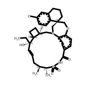 CC[C@]1(O)/C=C/C[C@H](C)[C@@H](C)S(=O)(=O)NC(=O)c2ccc3c(c2)N(C[C@@H]2CC[C@H]21)C[C@@]1(CCCc2cc(Cl)ccc21)CO3